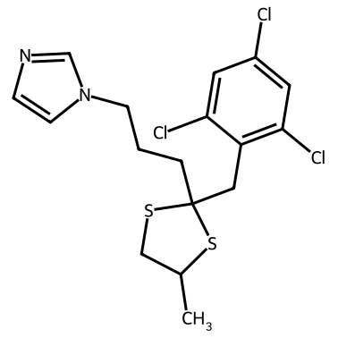 CC1CSC(CCCn2ccnc2)(Cc2c(Cl)cc(Cl)cc2Cl)S1